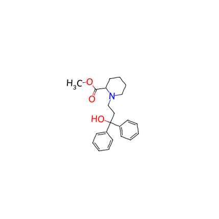 COC(=O)C1CCCCN1CCC(O)(c1ccccc1)c1ccccc1